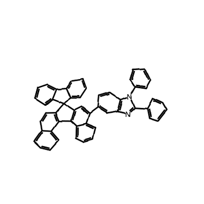 c1ccc(-c2nc3cc(-c4cc5c(c6ccccc46)-c4c(ccc6ccccc46)C54c5ccccc5-c5ccccc54)ccc3n2-c2ccccc2)cc1